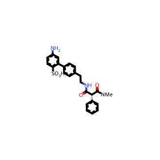 CNC(=O)[C@@H](C(=O)NCCc1ccc(-c2cc(N)ccc2S(=O)(=O)O)cc1)c1ccccc1